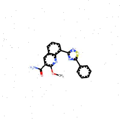 COc1nc2c(-c3nsc(-c4ccccc4)n3)cccc2cc1C(N)=O